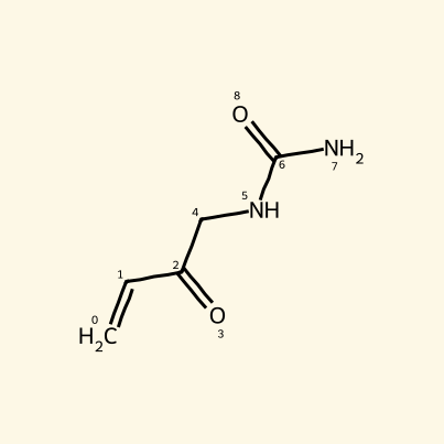 C=CC(=O)CNC(N)=O